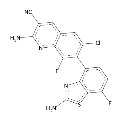 N#Cc1cc2cc(Cl)c(-c3ccc(F)c4sc(N)nc34)c(F)c2nc1N